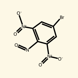 O=Nc1c([N+](=O)[O-])cc(Br)cc1[N+](=O)[O-]